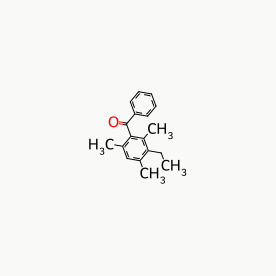 CCc1c(C)cc(C)c(C(=O)c2ccccc2)c1C